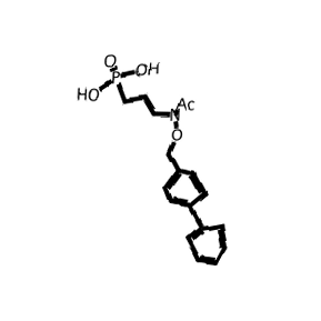 CC(=O)N(CCCP(=O)(O)O)OCc1ccc(-c2ccccc2)cc1